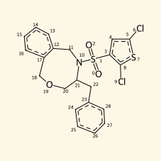 O=S(=O)(c1cc(Cl)sc1Cl)N1Cc2ccccc2COCC1Cc1ccccc1